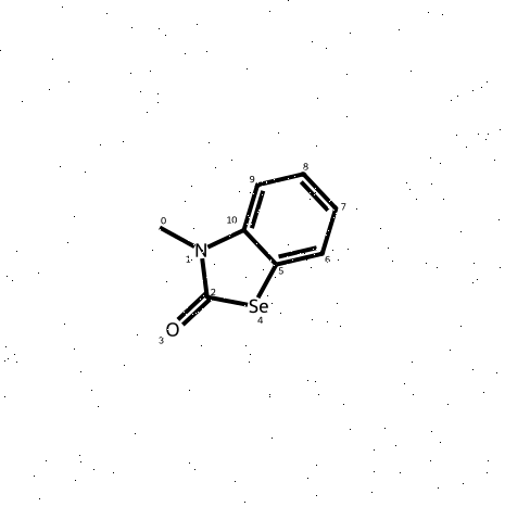 Cn1c(=O)[se]c2ccccc21